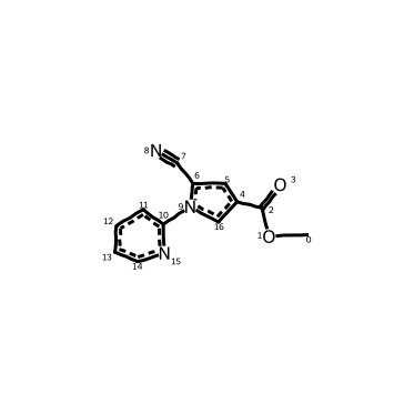 COC(=O)c1cc(C#N)n(-c2ccccn2)c1